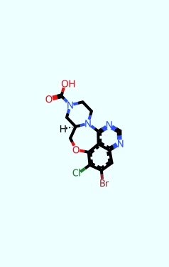 O=C(O)N1CCN2c3ncnc4cc(Br)c(Cl)c(c34)OC[C@H]2C1